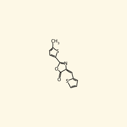 Cc1ccc(C2=NC(=Cc3cccs3)C(=O)O2)s1